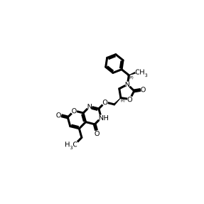 CCc1cc(=O)oc2nc(OC[C@H]3CN([C@H](C)c4ccccc4)C(=O)O3)[nH]c(=O)c12